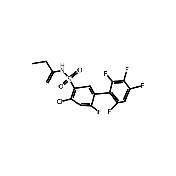 C=C(CC)NS(=O)(=O)c1cc(-c2c(F)cc(F)c(F)c2F)c(F)cc1Cl